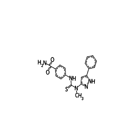 CN(C(=S)Nc1ccc(S(N)(=O)=O)cc1)c1cc(-c2ccccc2)[nH]n1